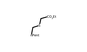 CCCCCCSCC(=O)OCC